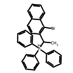 CC(c1ccc2ccccc2c1Br)[PH](c1ccccc1)(c1ccccc1)c1ccccc1